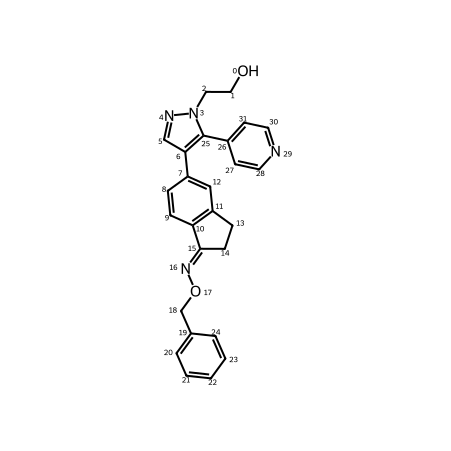 OCCn1ncc(-c2ccc3c(c2)CCC3=NOCc2ccccc2)c1-c1ccncc1